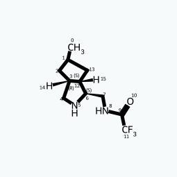 CC1C[C@H]2CN[C@H](CNC(=O)C(F)(F)F)[C@H]2C1